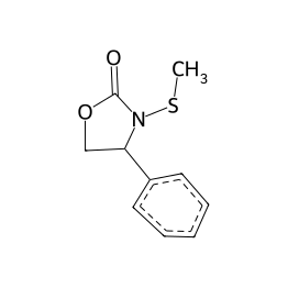 CSN1C(=O)OCC1c1ccccc1